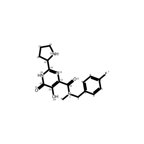 CN(Cc1ccc(F)cc1)C(=O)c1nc(C2CCCN2)[nH]c(=O)c1O